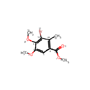 COC(=O)c1cc(OC)c(OC)c(Br)c1C